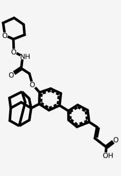 O=C(O)C=Cc1ccc(-c2ccc(OCC(=O)NOC3CCCCO3)c(C34CC5CC(CC(C5)C3)C4)c2)cc1